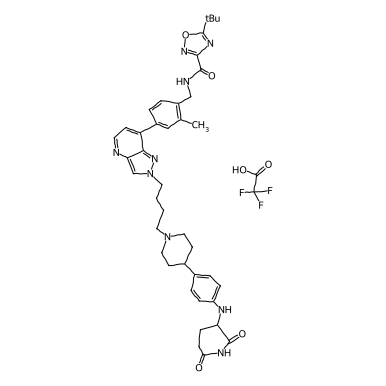 Cc1cc(-c2ccnc3cn(CCCCN4CCC(c5ccc(NC6CCC(=O)NC6=O)cc5)CC4)nc23)ccc1CNC(=O)c1noc(C(C)(C)C)n1.O=C(O)C(F)(F)F